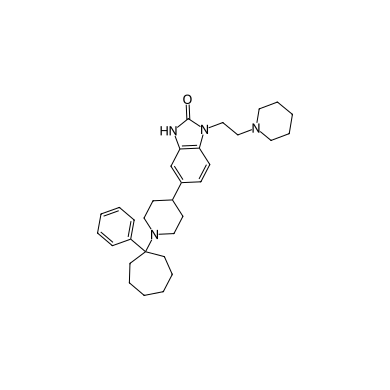 O=c1[nH]c2cc(C3CCN(C4(c5ccccc5)CCCCCC4)CC3)ccc2n1CCN1CCCCC1